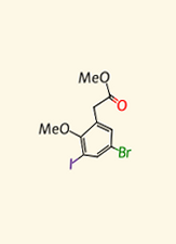 COC(=O)Cc1cc(Br)cc(I)c1OC